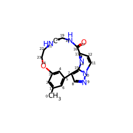 Cc1cc2cc(c1)-c1cnn3ccc(nc13)C(=O)NCCNCCO2